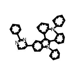 c1ccc(-c2nccc(-c3ccc4c(c3)c3c(n4-c4ccccc4)-c4ccccc4N(c4ccccc4)c4ccccc4-3)n2)cc1